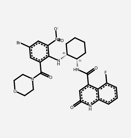 O=C(N[C@H]1CCCC[C@H]1Nc1c(C(=O)N2CCOCC2)cc(Br)cc1[N+](=O)[O-])c1cc(=O)[nH]c2cccc(F)c12